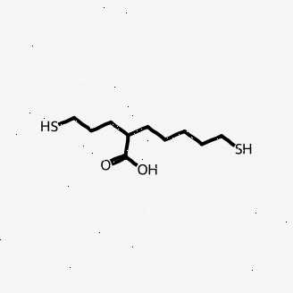 O=C(O)C(CCCS)CCCCCS